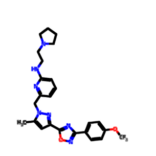 Cc1cc(-c2nc(-c3ccc(OC(F)(F)F)cc3)no2)nn1Cc1cccc(NCCN2CCCC2)n1